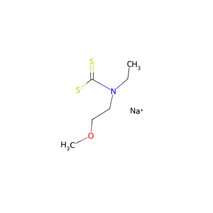 CCN(CCOC)C(=S)[S-].[Na+]